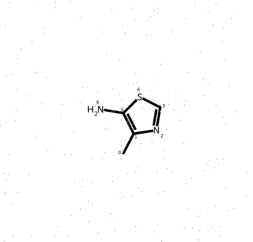 Cc1n[c]sc1N